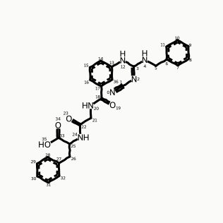 N#CN=C(NCc1ccccc1)Nc1cccc(C(=O)NCC(=O)NC(Cc2ccccc2)C(=O)O)c1